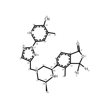 [2H]C1([2H])OC(=O)c2ccc([C@@H]3CN(Cc4cnn(-c5cc(C)c(C#N)cn5)n4)C[C@H](C)N3)c(C)c21